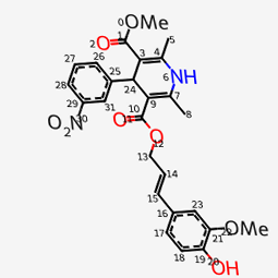 COC(=O)C1=C(C)NC(C)=C(C(=O)OCC=Cc2ccc(O)c(OC)c2)C1c1cccc([N+](=O)[O-])c1